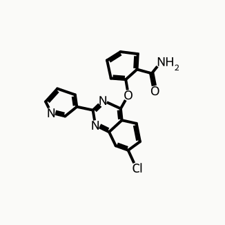 NC(=O)c1ccccc1Oc1nc(-c2cccnc2)nc2cc(Cl)ccc12